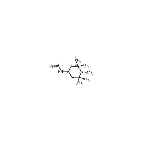 CN1C(C)(C)CC(N[C]=O)CC1(C)C